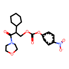 O=C(OCC(C(=O)N1CCOCC1)C1CCCCC1)Oc1ccc([N+](=O)[O-])cc1